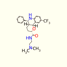 CN(C)CCNC(=O)[C@@H]1CC[C@@H]2[C@@H](c3ccccc3)Nc3ccc(C(F)(F)F)cc3[C@@H]2O1